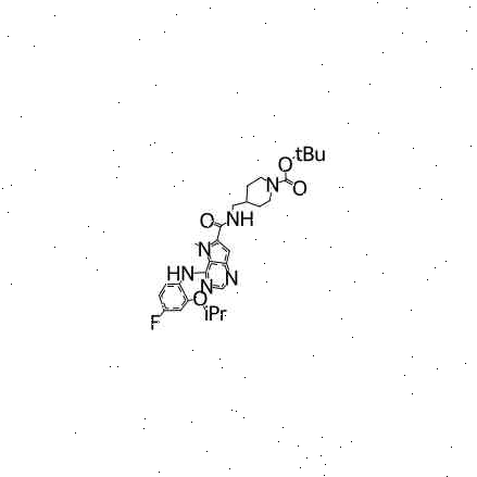 CC(C)Oc1cc(F)ccc1Nc1ncnc2cc(C(=O)NCC3CCN(C(=O)OC(C)(C)C)CC3)n(C)c12